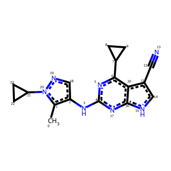 Cc1c(Nc2nc(C3CC3)c3c(C#N)c[nH]c3n2)cnn1C1CC1